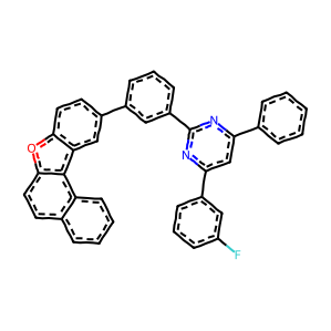 Fc1cccc(-c2cc(-c3ccccc3)nc(-c3cccc(-c4ccc5oc6ccc7ccccc7c6c5c4)c3)n2)c1